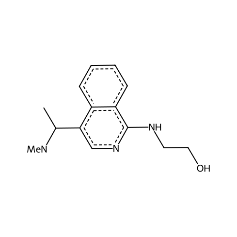 CNC(C)c1cnc(NCCO)c2ccccc12